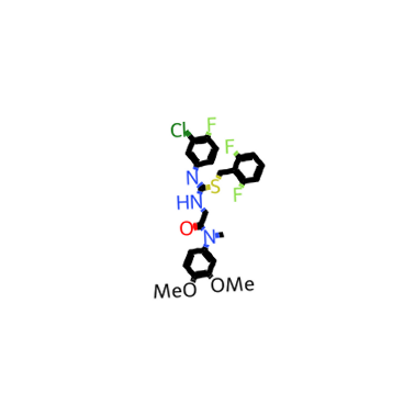 COc1ccc(N(C)C(=O)CNC(=Nc2ccc(F)c(Cl)c2)SCc2c(F)cccc2F)cc1OC